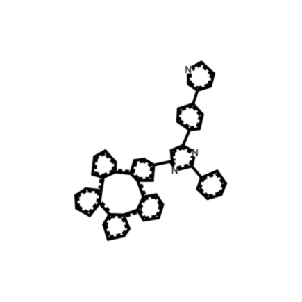 c1ccc(-c2nc(-c3ccc(-c4cccnc4)cc3)cc(-c3ccc4c5ccccc5c5ccccc5c5ccccc5c5ccccc5c4c3)n2)cc1